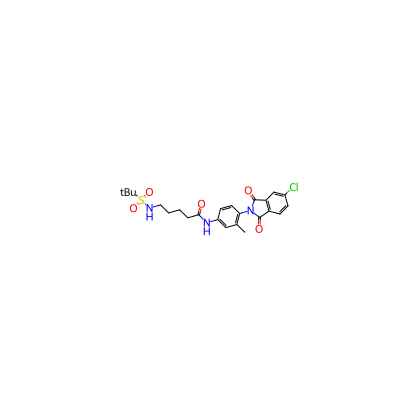 Cc1cc(NC(=O)CCCCNS(=O)(=O)C(C)(C)C)ccc1N1C(=O)c2ccc(Cl)cc2C1=O